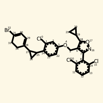 Clc1cc(OCc2c(-c3c(Cl)cccc3Cl)noc2C2CC2)ccc1C1CC1C1=CC=C(Br)CC1